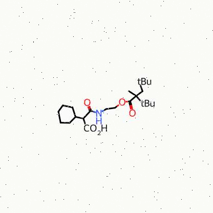 CC(C)(C)CC(C)(C(=O)OCCNC(=O)C(C(=O)O)C1CCCCC1)C(C)(C)C